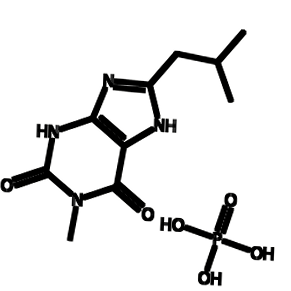 CC(C)Cc1nc2[nH]c(=O)n(C)c(=O)c2[nH]1.O=P(O)(O)O